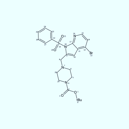 CC(C)(C)OC(=O)N1CCN(Cc2cc3c(Br)ccnc3n2S(=O)(=O)c2ccccc2)CC1